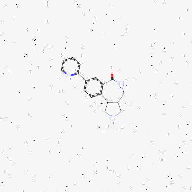 CN1C[C@@H]2CNC(=O)c3cc(-c4ccccn4)ccc3[C@H]2C1